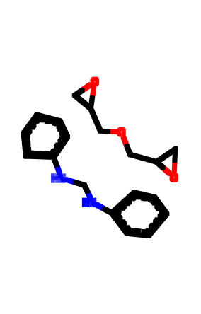 C(OCC1CO1)C1CO1.c1ccc(NCNc2ccccc2)cc1